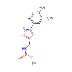 COc1cc(-c2cc(CNC(=O)OC(C)(C)C)on2)ncc1C#N